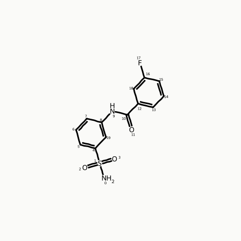 NS(=O)(=O)c1cccc(NC(=O)c2cccc(F)c2)c1